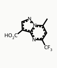 Cc1cc(C(F)(F)F)nc2c(C(=O)O)cnn12